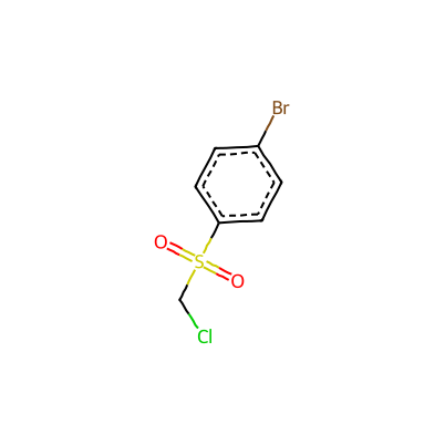 O=S(=O)(CCl)c1ccc(Br)cc1